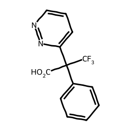 O=C(O)C(c1ccccc1)(c1cccnn1)C(F)(F)F